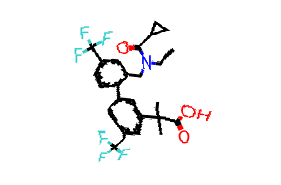 CCN(Cc1cc(C(F)(F)F)ccc1-c1cc(C(F)(F)F)cc(C(C)(C)C(=O)O)c1)C(=O)C1CC1